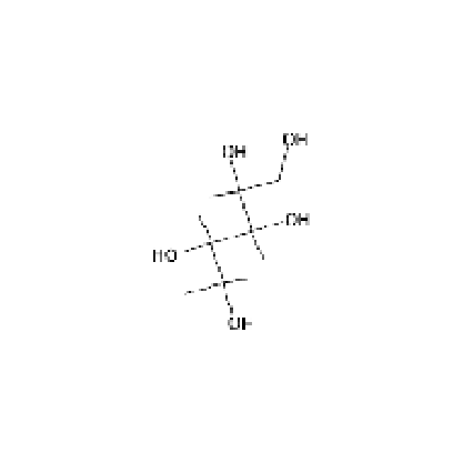 CC(C)(O)C(C)(O)C(C)(O)C(C)(O)CO